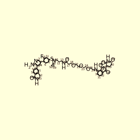 Nc1ncc(-c2ccc(SN(CCCNC(=O)CCOCCOCCOCCNc3cccc4c3C(=O)N(C3CCC(=O)NC3=O)C4=O)C3CC3)cc2F)cc1-c1ccc2c(c1)CCNC2=O